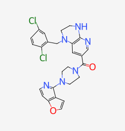 O=C(c1cnc2c(c1)N(Cc1cc(Cl)ccc1Cl)CCN2)N1CCN(c2nccc3occc23)CC1